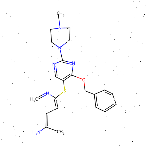 C=N/C(=C\C=C(/C)N)Sc1cnc(N2CCN(C)CC2)nc1OCc1ccccc1